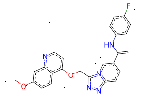 C=C(Nc1ccc(F)cc1)c1ccc2nnc(COc3ccnc4cc(OC)ccc34)n2c1